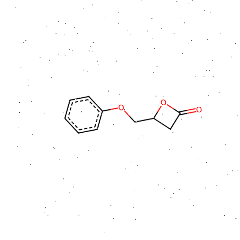 O=C1CC(COc2ccccc2)O1